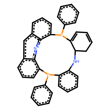 C1=CCC2Nc3ccccc3P(c3ccccc3)c3cccc4cc5cccc(c5nc34)P(c3ccccc3)C2=C1